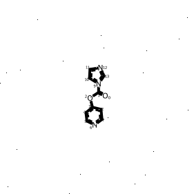 O=C(Oc1ccncc1)n1ccnc1